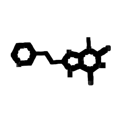 Cn1c(=O)[nH]c(=O)c2[nH]c(CCc3cccnc3)nc21